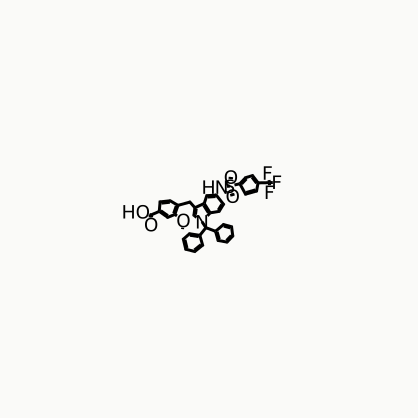 COc1cc(C(=O)O)ccc1Cc1cn(C(c2ccccc2)c2ccccc2)c2ccc(NS(=O)(=O)c3ccc(C(F)(F)F)cc3)cc12